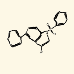 CC(=O)c1cn(S(=O)(=O)c2ccccc2)c2ccc(-c3ccccc3)cc12